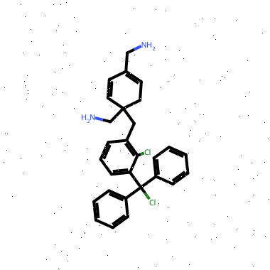 NCC1=CCC(CN)(Cc2cccc(C(Cl)(c3ccccc3)c3ccccc3)c2Cl)C=C1